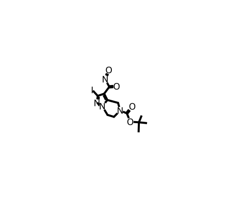 CC(C)(C)OC(=O)N1CCn2nc(I)c(C(=O)N=O)c2C1